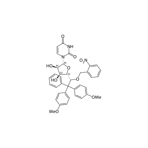 COc1ccc(C(c2ccccc2)(c2ccc(OC)cc2)C(OCc2ccccc2[N+](=O)[O-])[C@H]2O[C@@H](n3ccc(=O)[nH]c3=O)[C@H](O)[C@@H]2O)cc1